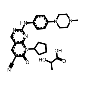 CC(O)C(=O)O.CN1CCN(c2ccc(Nc3ncc4cc(C#N)c(=O)n(C5CCCC5)c4n3)cc2)CC1